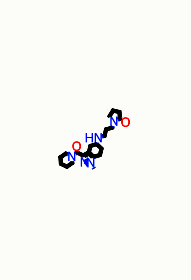 Cn1nc(C(=O)N2CCCCC2)c2c1CCC(NCCCN1CCCC1=O)C2